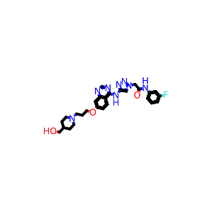 O=C(Cn1cc(Nc2ncnc3cc(OCCCN4CCC(CO)CC4)ccc23)nn1)Nc1cccc(F)c1